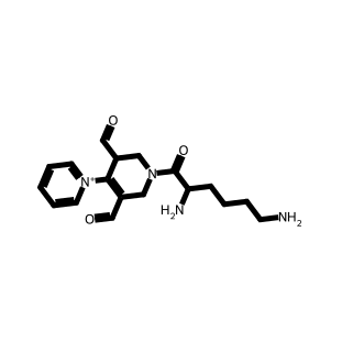 NCCCCC(N)C(=O)N1CC(C=O)=C([n+]2ccccc2)C(C=O)C1